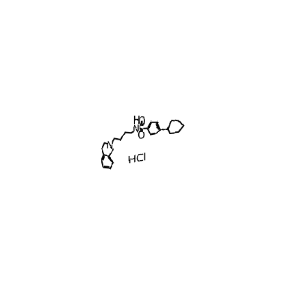 Cl.O=S(=O)(NCCCCN1CCc2ccccc2C1)c1ccc(C2CCCCC2)cc1